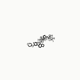 CC(C)(Cn1ccc(S(=O)(=O)NC(=O)Nc2c(-c3ccnc(OC4CCOCC4)c3)ccc3c2CCC3)n1)B(O)O